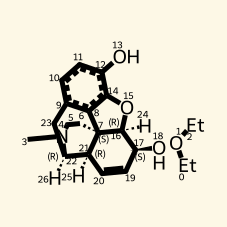 CCOCC.CN1CC[C@]23c4c5ccc(O)c4O[C@H]2[C@@H](O)C=C[C@H]3[C@H]1C5